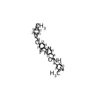 Cc1cc(CNC(=O)Cc2cnc(-c3ccc(OCCN4CCN(C)CC4)cc3F)nc2)ccn1